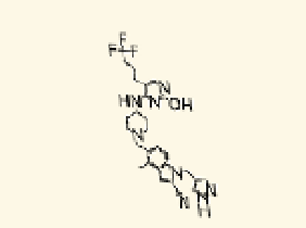 Cc1c(CN2CCC(Nc3nc(O)ncc3CCCC(F)(F)F)CC2)ccc2c1cc(C#N)n2Cc1cn[nH]c1